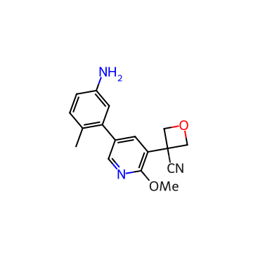 COc1ncc(-c2cc(N)ccc2C)cc1C1(C#N)COC1